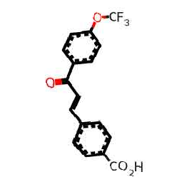 O=C(O)c1ccc(/C=C/C(=O)c2ccc(OC(F)(F)F)cc2)cc1